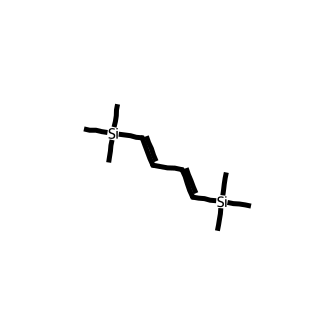 C[Si](C)(C)C=CC=C[Si](C)(C)C